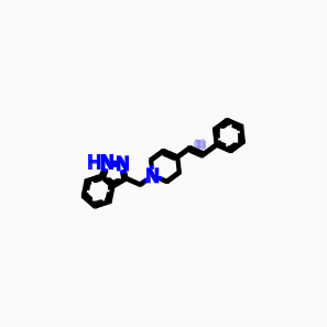 C1=C(/C=C/c2ccccc2)CCN(Cc2n[nH]c3ccccc23)C1